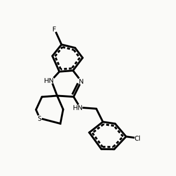 Fc1ccc2c(c1)NC1(CCSCC1)C(NCc1cccc(Cl)c1)=N2